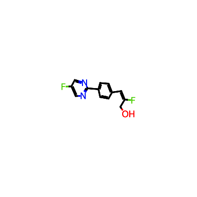 OC/C(F)=C\c1ccc(-c2ncc(F)cn2)cc1